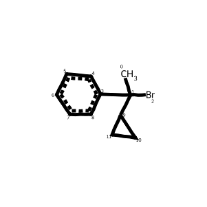 CC(Br)(c1ccccc1)C1CC1